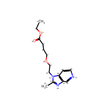 CCOC(=O)CCCOCCn1c(C)nc2cnccc21